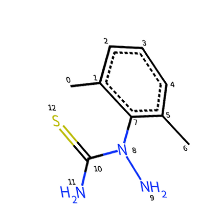 Cc1cccc(C)c1N(N)C(N)=S